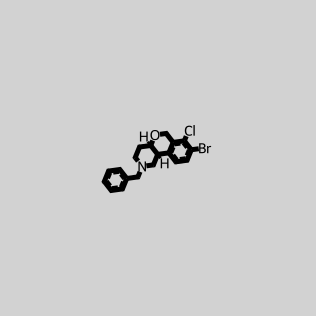 Clc1c(Br)ccc2c1CO[C@H]1CCN(Cc3ccccc3)C[C@@H]21